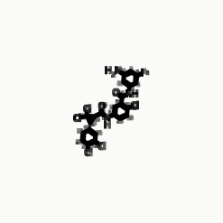 Nc1cc(F)cc(NC(=O)c2cc(NC(=O)C3[C@H](c4ccc(Cl)c(Cl)c4)C3(Cl)Cl)ccc2Cl)c1